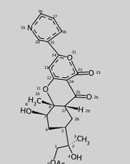 CC(=O)OC[C@](C)(O)[C@H]1C[C@@H](O)[C@]2(C)Oc3cc(-c4cccnc4)oc(=O)c3C(=O)[C@@H]2C1